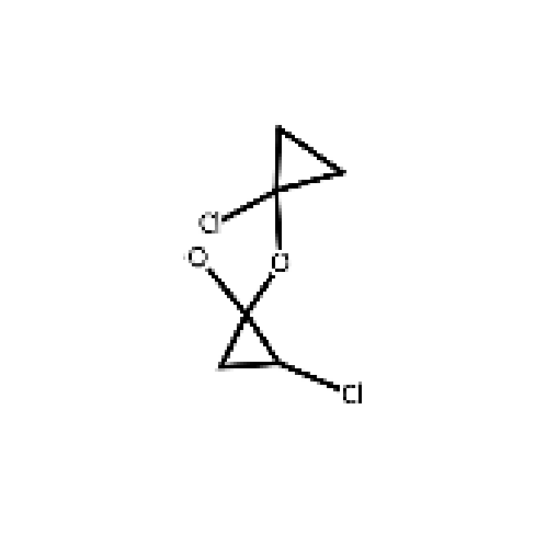 [O]C1(OC2(Cl)CC2)CC1Cl